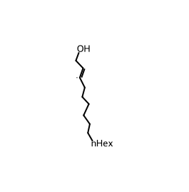 CCCCCCCCCCCC[C]=CCO